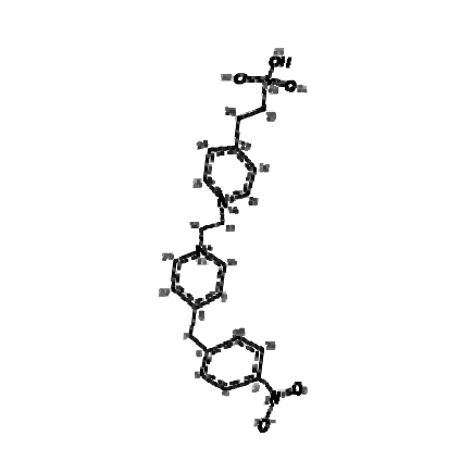 O=[N+]([O-])c1ccc(Cc2cc[n+](CC[n+]3ccc(CCS(=O)(=O)O)cc3)cc2)cc1